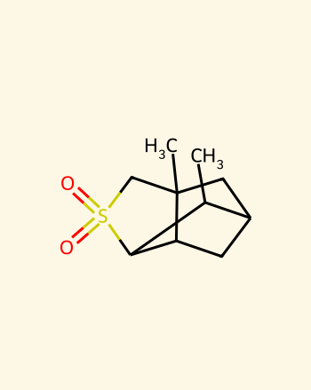 CC1C2CC3C1S(=O)(=O)CC3(C)C2